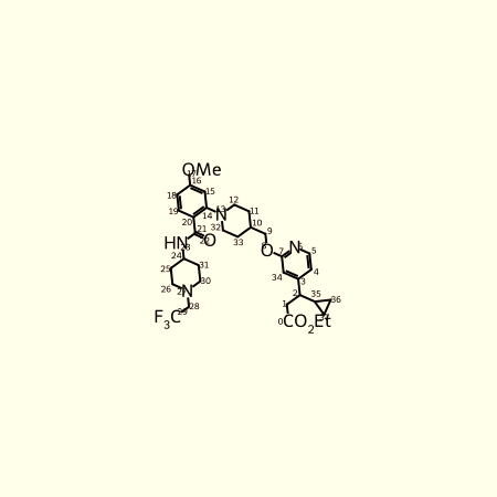 CCOC(=O)CC(c1ccnc(OCC2CCN(c3cc(OC)ccc3C(=O)NC3CCN(CC(F)(F)F)CC3)CC2)c1)C1CC1